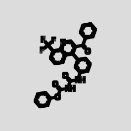 O=C(NC(=O)Oc1ccccc1)Nc1cccc(-c2c(C(=O)c3ccccc3)cnc3c(C(F)(F)F)cccc23)c1